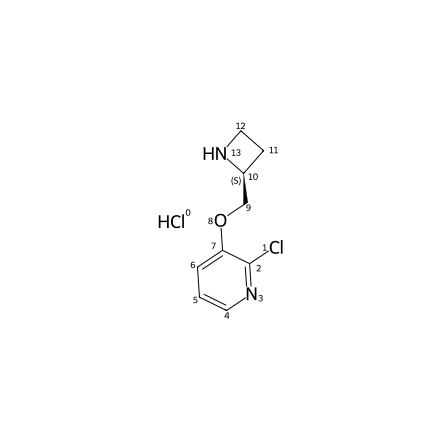 Cl.Clc1ncccc1OC[C@@H]1CCN1